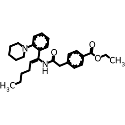 CCCCC=C(NC(=O)Cc1ccc(C(=O)OCC)cc1)c1ccccc1N1CCCCC1